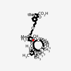 CC[C@H]1OC(=O)[C@H](C)[C@@H](O[C@H]2C[C@@](C)(OC)[C@@H](OCCCOCC=Cc3ccc4c(c3)c(=O)c(C(=O)O)cn4C(C)(C)C)[C@H](C)O2)[C@H](C)[C@@H](O[C@@H]2O[C@H](C)C[C@H](N(C)C)[C@H]2O)[C@](C)(O)C[C@@H](C)CN(C)[C@H](C)[C@@H](O)[C@]1(C)O